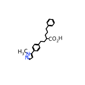 Cn1nccc1-c1ccc(CCC(CCCc2ccccc2)C(=O)O)cc1